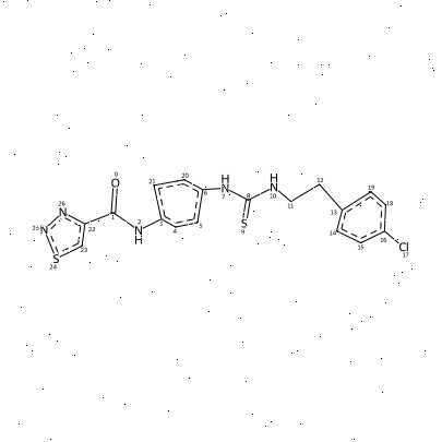 O=C(Nc1ccc(NC(=S)NCCc2ccc(Cl)cc2)cc1)c1csnn1